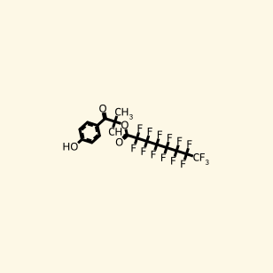 CC(C)(OC(=O)C(F)(F)C(F)(F)C(F)(F)C(F)(F)C(F)(F)C(F)(F)C(F)(F)F)C(=O)c1ccc(O)cc1